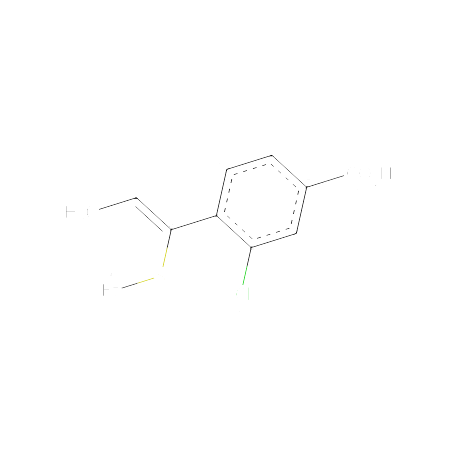 C/C=C(\SCC)c1ccc(C(=O)O)cc1Cl